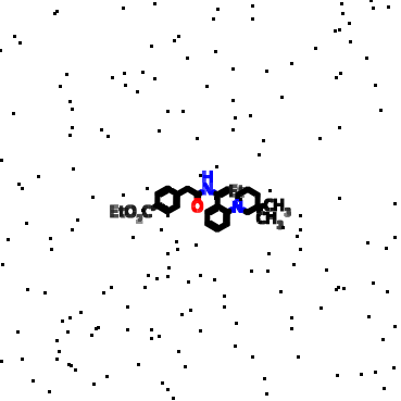 CC/C=C(/NC(=O)Cc1ccc(C(=O)OCC)cc1)c1ccccc1N1CCCC(C)(C)C1